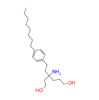 CCCCCCCCc1ccc(CCC(N)(CCO)CCCO)cc1